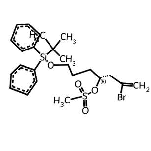 C=C(Br)C[C@@H](CCCO[Si](c1ccccc1)(c1ccccc1)C(C)(C)C)OS(C)(=O)=O